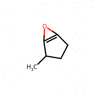 CC1CCC2=C1O2